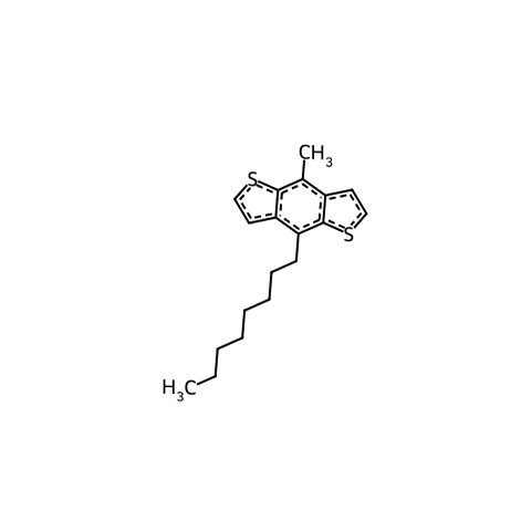 CCCCCCCCc1c2ccsc2c(C)c2ccsc12